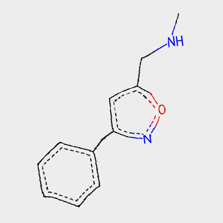 CNCc1cc(-c2ccccc2)no1